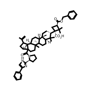 C=C(C)C1CCC2(C(=O)N3CCC[C@H]3c3nc(-c4ccccc4)c[nH]3)CCC3(C)[C@H](CC[C@@H]4[C@]5(C)CC[C@H]([C@@]6(C(=O)O)C[C@@H](C(=O)OCc7ccccc7)C6(C)C)C(C)(C)[C@H]5CC[C@]43C)[C@@H]12